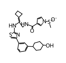 C[S+]([O-])n1ccc(C(=O)NCC(Nc2nc(-c3cccc(C4CCC(O)CC4)c3)cs2)=C2CCC2)c1